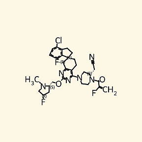 C=C(F)C(=O)N1CCN(c2nc(OC[C@@H]3C[C@@H](F)CN3C)nc3c2CC[C@@]2(CCc4c(Cl)cccc42)[C@H]3F)C[C@@H]1CC#N